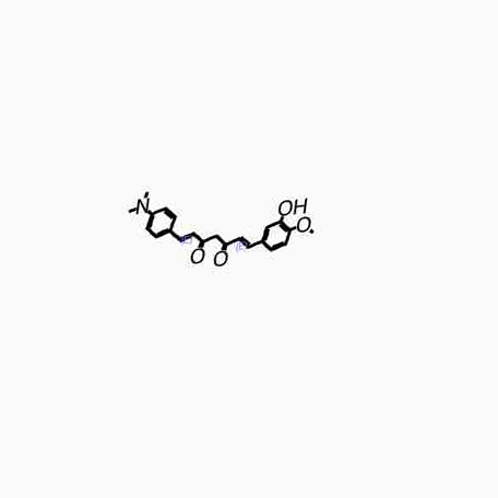 COc1ccc(/C=C/C(=O)CC(=O)/C=C/c2ccc(N(C)C)cc2)cc1O